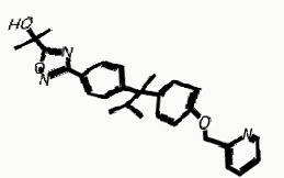 CC(C)C(C)(c1ccc(OCc2ccccn2)cc1)c1ccc(-c2noc(C(C)(C)O)n2)cc1